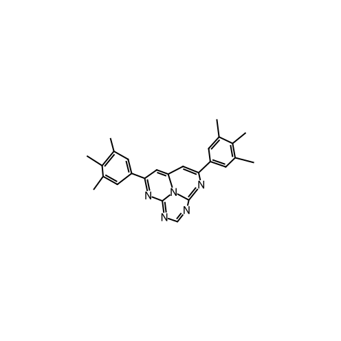 Cc1cc(C2=CC3=CC(c4cc(C)c(C)c(C)c4)=NC4=NC=NC(=N2)N34)cc(C)c1C